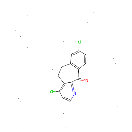 O=C1c2ccc(Cl)cc2CCc2c(Cl)ccnc21